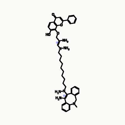 CN1Cc2ccccc2/C(N(N)CCCCCCCCCCN(N)/C=C(\N)COc2c(O)ccc3c(=O)cc(-c4ccccc4)oc23)=C(/N)c2ccccc21